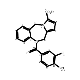 CCOC(=O)c1ccc2n1Cc1ccccc1N(C(=O)c1ccc([N+](=O)[O-])c(Cl)c1)C2